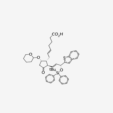 CC(C)(C)[Si](O[C@H](/C=C/[C@H]1C(=O)C[C@H](OC2CCCCO2)[C@@H]1C/C=C/CCCC(=O)O)c1cc2ccccc2s1)(c1ccccc1)c1ccccc1